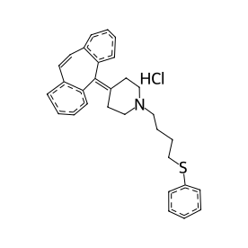 C1=Cc2ccccc2C(=C2CCN(CCCCSc3ccccc3)CC2)c2ccccc21.Cl